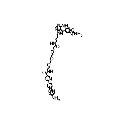 Nc1cnc(N2CCN(c3ncc(C(=O)NCCOCCOCCOCCC(=O)NCCCCn4nc(-c5ccc6oc(N)nc6c5)c5c(N)ncnc54)cn3)CC2)nc1